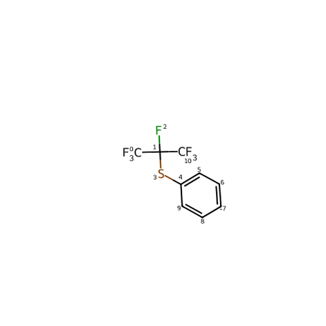 FC(F)(F)C(F)(Sc1cc[c]cc1)C(F)(F)F